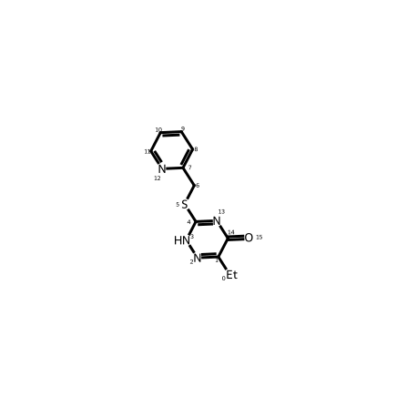 CCc1n[nH]c(SCc2ccccn2)nc1=O